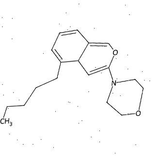 CCCCCC1=CC=CC2=COC(N3CCOCC3)=CC21